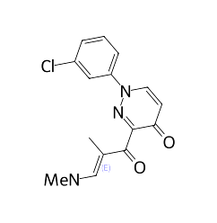 CN/C=C(\C)C(=O)c1nn(-c2cccc(Cl)c2)ccc1=O